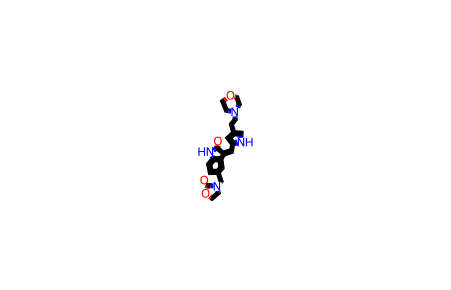 O=C1Nc2ccc(CN3CCOC3=O)cc2C1=Cc1cc(CCN2CCOCC2)c[nH]1